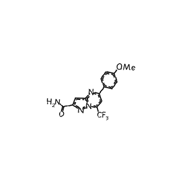 COc1ccc(-c2cc(C(F)(F)F)n3nc(C(N)=O)cc3n2)cc1